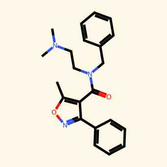 Cc1onc(-c2ccccc2)c1C(=O)N(CCN(C)C)Cc1ccccc1